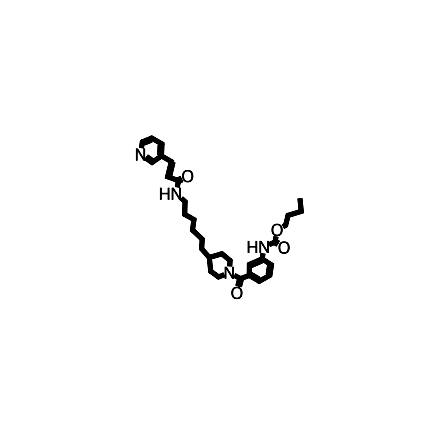 CCCCOC(=O)Nc1cccc(C(=O)N2CCC(CCCCCCNC(=O)/C=C/c3cccnc3)CC2)c1